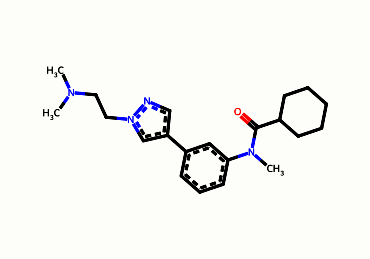 CN(C)CCn1cc(-c2cccc(N(C)C(=O)C3CCCCC3)c2)cn1